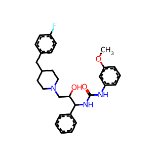 COc1cccc(NC(=O)NC(c2ccccc2)C(O)CN2CCC(Cc3ccc(F)cc3)CC2)c1